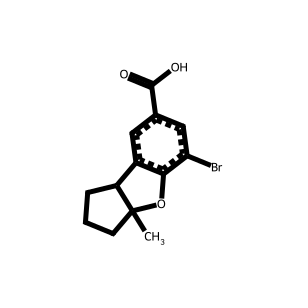 CC12CCCC1c1cc(C(=O)O)cc(Br)c1O2